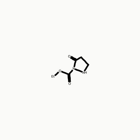 CCOC(=O)N1NCCC1=O